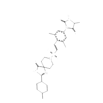 Cc1cc(N2C(=O)NC(C)C2=O)cc(C)c1/C=C/S(=O)(=O)N1CCC2(CC1)N=C(C1CCC(C)CC1)NC2=O